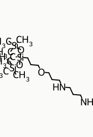 C[Si](C)(C)O[Si](C)(CCCOCCCNCCCN)O[Si](C)(C)C